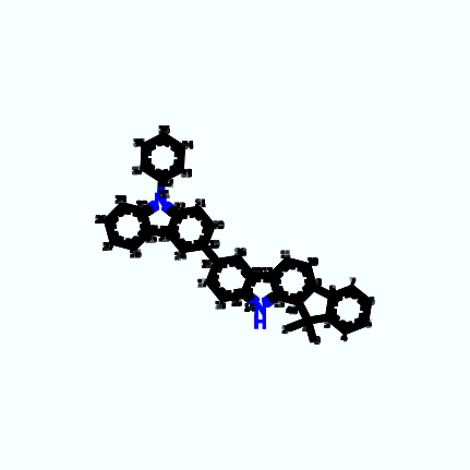 CC1(C)c2ccccc2-c2ccc3c([nH]c4ccc(-c5ccc6c(c5)c5ccccc5n6-c5ccccc5)cc43)c21